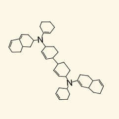 C1=CC2=CCC(N(C3=CCCCC3)C3C=CC(C4C=CC(N(C5=CC6CCC=CC6CC5)C5CC=CCC5)CC4)CC3)CC2CC1